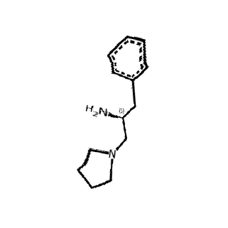 N[C@@H](Cc1ccccc1)CN1CCCC1